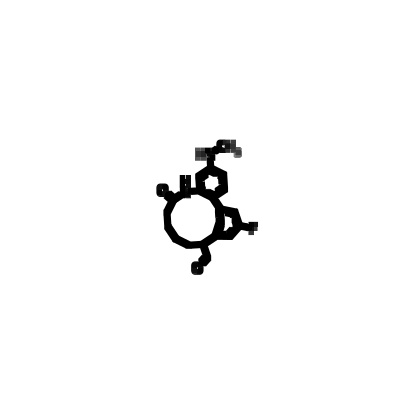 CNc1ccc2c(c1)NC(=O)CCCCC(C=O)c1cc(F)cc-2c1